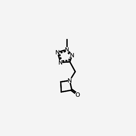 Cn1nnc(CN2CCC2=O)n1